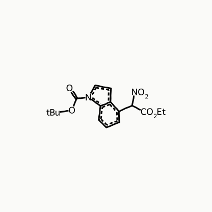 CCOC(=O)C(c1cccc2c1ccn2C(=O)OC(C)(C)C)[N+](=O)[O-]